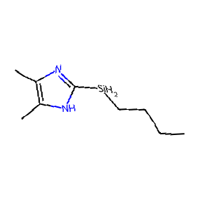 CCCC[SiH2]c1nc(C)c(C)[nH]1